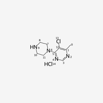 Cc1ncnc(N2CCNCC2)c1Cl.Cl